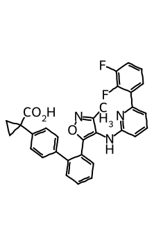 Cc1noc(-c2ccccc2-c2ccc(C3(C(=O)O)CC3)cc2)c1Nc1cccc(-c2cccc(F)c2F)n1